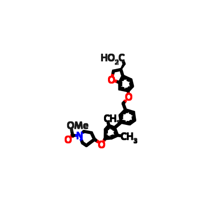 COC(=O)N1CCC(Oc2cc(C)c(-c3cccc(COc4ccc5c(c4)OC[C@H]5CC(=O)O)c3)c(C)c2)CC1